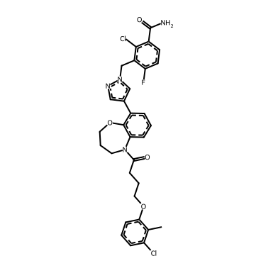 Cc1c(Cl)cccc1OCCCC(=O)N1CCCOc2c(-c3cnn(Cc4c(F)ccc(C(N)=O)c4Cl)c3)cccc21